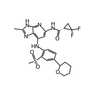 Cc1nc2c(Nc3ccc(C4CCCCO4)cc3S(C)(=O)=O)cc(NC(=O)[C@@H]3CC3(F)F)nc2[nH]1